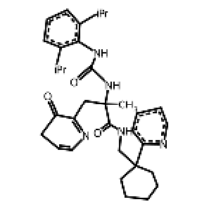 CC(C)c1cccc(C(C)C)c1NC(=O)NC(C)(CC1=NC=CCC1=O)C(=O)NCC1(c2ccccn2)CCCCC1